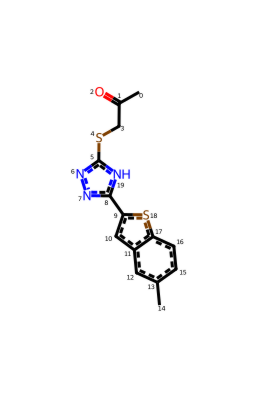 CC(=O)CSc1nnc(-c2cc3cc(C)ccc3s2)[nH]1